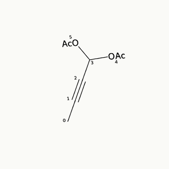 CC#CC(OC(C)=O)OC(C)=O